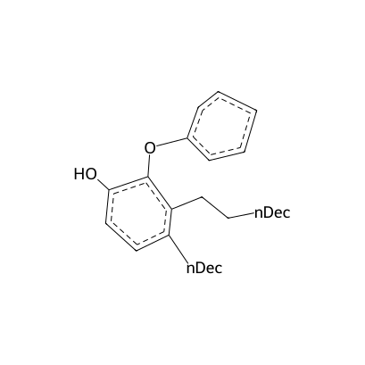 CCCCCCCCCCCCc1c(CCCCCCCCCC)ccc(O)c1Oc1ccccc1